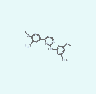 COc1cc(N)cc(Nc2nccc(-c3ccc(OC)c(N)c3)n2)c1